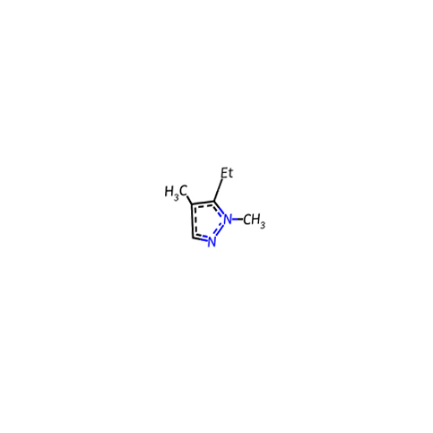 CCc1c(C)cnn1C